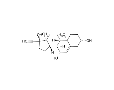 C#C[C@@]1(O)CC[C@H]2[C@@H]3[C@@H](O)C=C4C[C@@H](O)CC[C@]4(C)[C@H]3CC[C@@]21C